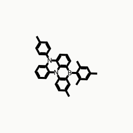 Cc1ccc(N2c3ccccc3N3c4ccc(C)cc4B(c4c(C)cc(C)cc4C)c4cccc2c43)cc1